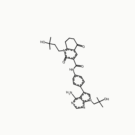 CC(C)(O)CCn1c2c(cc(C(=O)Nc3ccc(-c4cn(CC(C)(C)O)c5ncnc(N)c45)cc3)c1=O)C(=O)CCC2